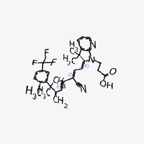 C=C(/C=C/C(C#N)=C/C=C1/N(CCC(=O)O)c2ncccc2C1(C)C)C(C)(C)c1cc(C(F)(F)F)ccc1C